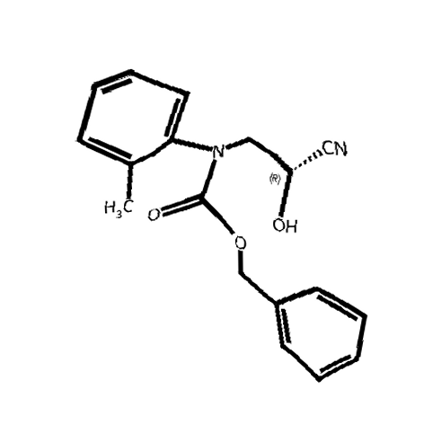 Cc1ccccc1N(C[C@@H](O)C#N)C(=O)OCc1ccccc1